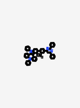 CC1c2c3c(n(-c4ccccc4)c2C=CC1c1ccc(-c2cc(-c4ccccc4)nc(-c4ccccc4)n2)cc1)-c1ccccc1N(c1ccccc1)c1ccccc1-3